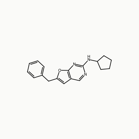 c1ccc(Cc2cc3cnc(NC4CCCC4)nc3o2)cc1